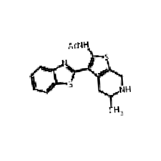 CC(=O)Nc1sc2c(c1-c1nc3ccccc3s1)CC(C)NC2